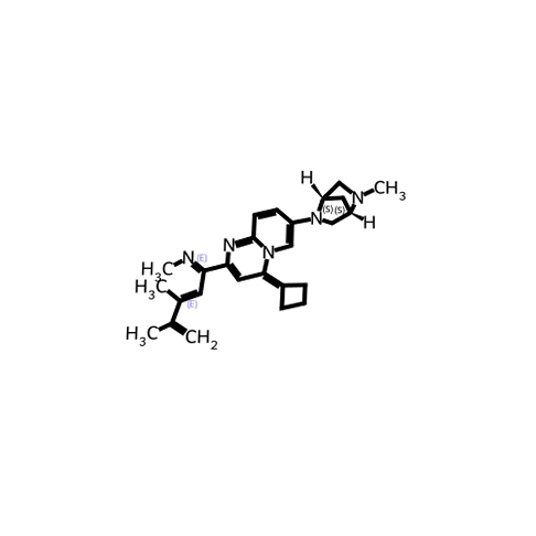 C=C(C)/C(C)=C/C(=N\C)C1=CC(=C2CCC2)N2C=C(N3C[C@@H]4C[C@H]3CN4C)C=CC2=N1